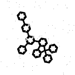 c1ccc(-c2ccc(-c3nc(-c4ccccc4)cc(-c4cccc5c4-c4ccccc4C5(c4ccccc4)c4ccccc4)n3)cn2)cc1